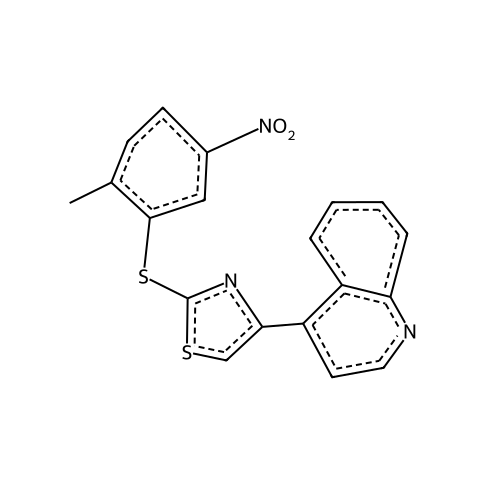 Cc1ccc([N+](=O)[O-])cc1Sc1nc(-c2ccnc3ccccc23)cs1